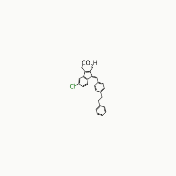 CC1=C(CC(=O)O)c2cc(Cl)ccc2/C1=C\c1ccc(CCc2ccccc2)cc1